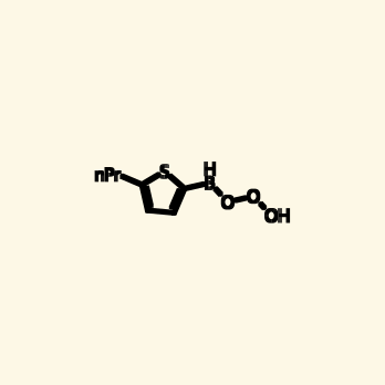 CCCc1ccc(BOOO)s1